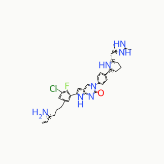 C=C[C@@H](N)CCCc1cc(Cl)c(F)c(-c2cc3cn(-c4ccc([C@@H]5CCC[C@@H](C[C@@H](C)NC(C)=N)N5)cc4)c(=O)nc3[nH]2)c1